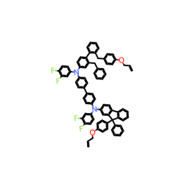 C=CCOc1ccc(Cc2ccccc2-c2ccc(N(c3ccc(-c4ccc(N(c5ccc(F)c(F)c5)c5ccc6c(c5)C(c5ccccc5)(c5ccc(OCC=C)cc5)c5ccccc5-6)cc4)cc3)c3ccc(F)c(F)c3)cc2Cc2ccccc2)cc1